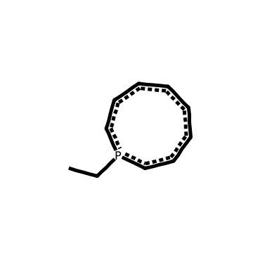 CCp1cccccccc1